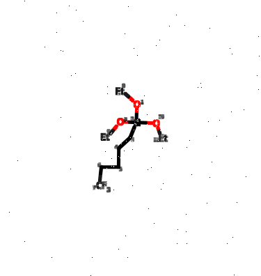 CCO[Si](CCCCC(F)(F)F)(OCC)OCC